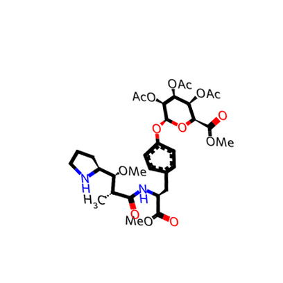 COC(=O)[C@H](Cc1ccc(O[C@@H]2O[C@H](C(=O)OC)[C@H](OC(C)=O)[C@H](OC(C)=O)[C@@H]2OC(C)=O)cc1)NC(=O)[C@H](C)[C@@H](OC)[C@@H]1CCCN1